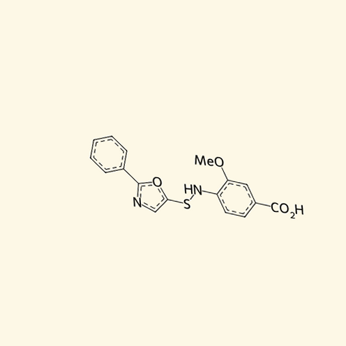 COc1cc(C(=O)O)ccc1NSc1cnc(-c2ccccc2)o1